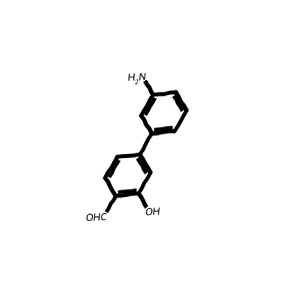 Nc1cccc(-c2ccc(C=O)c(O)c2)c1